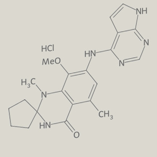 COc1c(Nc2ncnc3[nH]ccc23)cc(C)c2c1N(C)C1(CCCC1)NC2=O.Cl